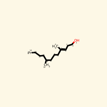 C/C(=C\CCO)CCCC(C)CCCC(C)C